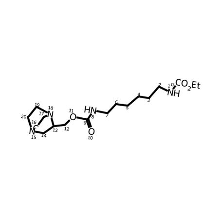 CCOC(=O)NCCCCCCNC(=O)OCC1CN2CCN1CC2